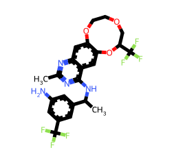 Cc1nc(NC(C)c2cc(N)cc(C(F)(F)F)c2)c2cc3c(cc2n1)OCCOCC(C(F)(F)F)O3